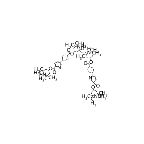 CC1(C)CC(OC(=O)c2ccc(C3CCC(C(=O)OC4CC(C)(C)NC(C)(CCC5(C)CC(OC(=O)C6CC=C(c7ccc(C(=O)OC8CC(C)(C)NC(C)(C)C8)nc7)CC6)CC(C)(C)N5)C4)CC3)nc2)CC(C)(C)N1